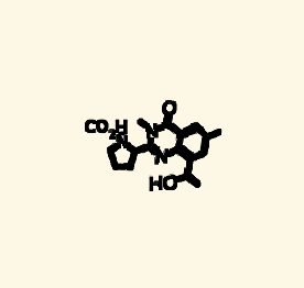 Cc1cc(C(C)O)c2nc(C3CCCN3C(=O)O)n(C)c(=O)c2c1